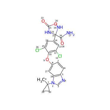 CC1(n2cnc3ccc(Oc4c(Cl)cc(C5(C(N)=O)NOC(=O)N5)cc4Cl)cc32)CC1